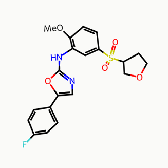 COc1ccc(S(=O)(=O)C2CCOC2)cc1Nc1ncc(-c2ccc(F)cc2)o1